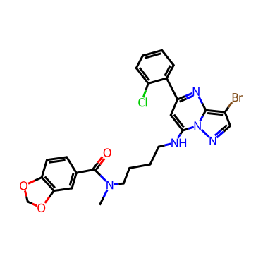 CN(CCCCNc1cc(-c2ccccc2Cl)nc2c(Br)cnn12)C(=O)c1ccc2c(c1)OCO2